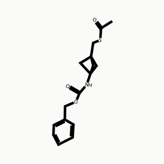 CC(=O)SCC12CC(NC(=O)OCc3ccccc3)(C1)C2